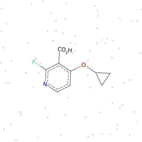 O=C(O)c1c(OC2CC2)ccnc1F